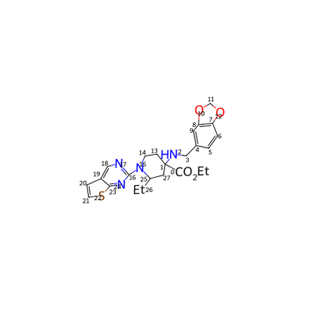 CCOC(=O)C1(NCc2ccc3c(c2)OCO3)CCN(c2ncc3ccsc3n2)C(CC)C1